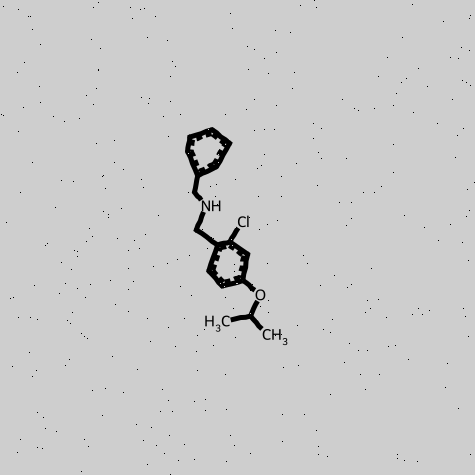 CC(C)Oc1ccc(CNCc2ccccc2)c(Cl)c1